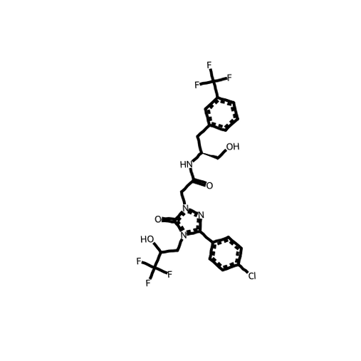 O=C(Cn1nc(-c2ccc(Cl)cc2)n(CC(O)C(F)(F)F)c1=O)N[C@H](CO)Cc1cccc(C(F)(F)F)c1